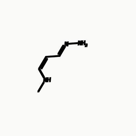 CN/C=C\C=N\N